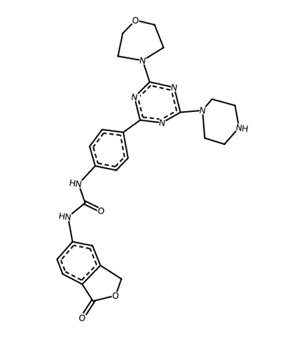 O=C(Nc1ccc(-c2nc(N3CCNCC3)nc(N3CCOCC3)n2)cc1)Nc1ccc2c(c1)COC2=O